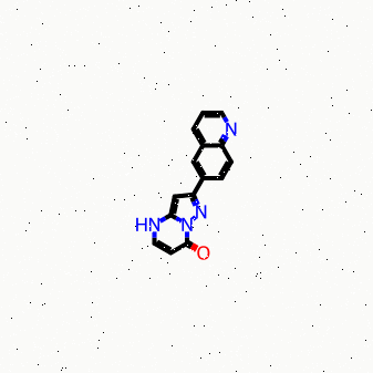 O=c1cc[nH]c2cc(-c3ccc4ncccc4c3)nn12